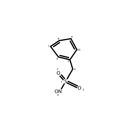 O=NS(=O)(=O)Cc1ccccc1